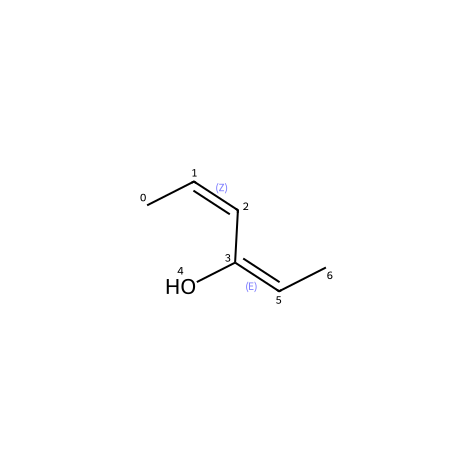 C/C=C\C(O)=C/C